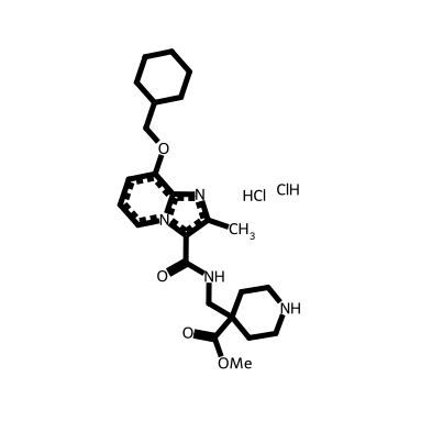 COC(=O)C1(CNC(=O)c2c(C)nc3c(OCC4CCCCC4)cccn23)CCNCC1.Cl.Cl